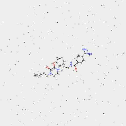 N=C(N)c1ccc(C(=O)NCCC[N+]2(c3ccccc3)CCN(CCC(=O)O)C(=O)C2=O)cc1